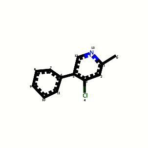 [CH2]c1cc(Cl)c(-c2ccccc2)cn1